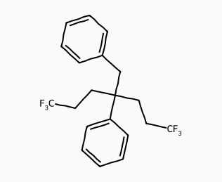 FC(F)(F)CCC(CCC(F)(F)F)(Cc1ccccc1)c1ccccc1